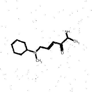 CC(S)C(=O)/C=C/CN(C)C1CCCCC1